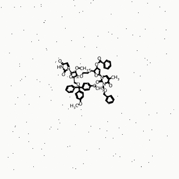 COc1ccc(C(OC[C@H]2O[C@@H](n3ccc(=O)[nH]c3=O)[C@H](OC)[C@@H]2OCCSC2OC(n3cc(C)c(=O)n(COCc4ccccc4)c3=O)CC2OC(=O)c2ccccc2)(c2ccccc2)c2ccc(OC)cc2)cc1